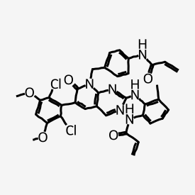 C=CC(=O)Nc1ccc(Cn2c(=O)c(-c3c(Cl)c(OC)cc(OC)c3Cl)cc3cnc(Nc4c(C)cccc4NC(=O)C=C)nc32)cc1